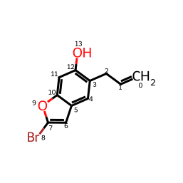 C=CCc1cc2cc(Br)oc2cc1O